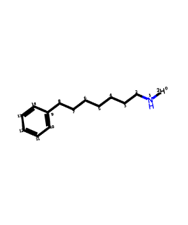 [2H]NCCCCCCCc1ccccc1